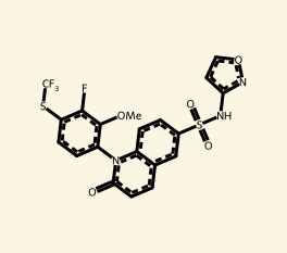 COc1c(-n2c(=O)ccc3cc(S(=O)(=O)Nc4ccon4)ccc32)ccc(SC(F)(F)F)c1F